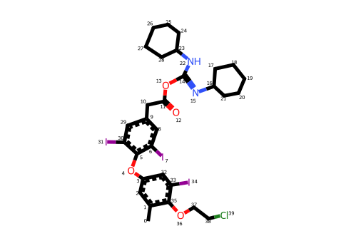 Cc1cc(Oc2c(I)cc(CC(=O)O/C(=N/C3CCCCC3)NC3CCCCC3)cc2I)cc(I)c1OCCCl